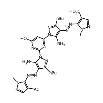 CCCCc1nn(-c2cc(O)nc(-n3nc(CCCC)c(/N=N/c4c(C(C)=O)cnn4C)c3N)n2)c(N)c1/N=N/c1c(C(=O)O)cnn1C